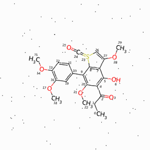 CCC(=O)c1c(O)c2c(c(-c3ccc(OC)c(OC)c3)c1OC)S(=C=O)C=C2OC